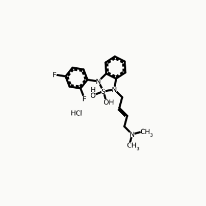 CN(C)CC=CCN1c2ccccc2N(c2ccc(F)cc2F)S1(O)O.Cl